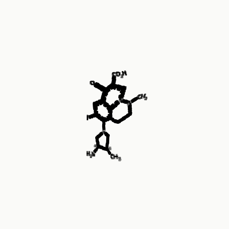 C[C@@H]1CN(c2c(F)cc3c(=O)c(C(=O)O)cn4c3c2CCN4C)C[C@@H]1N